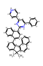 CC1(C)c2cccc(-c3ccc(-c4nc(-c5ccccc5)cc(-c5ccncc5)n4)c4ccccc34)c2-c2c1ccc1ccccc21